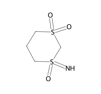 N=S1(=O)CCCS(=O)(=O)C1